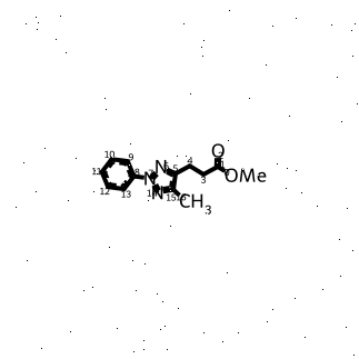 COC(=O)CCc1nn(-c2ccccc2)nc1C